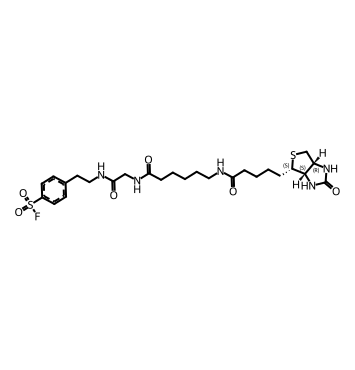 O=C(CCCC[C@@H]1SC[C@@H]2NC(=O)N[C@@H]21)NCCCCCC(=O)NCC(=O)NCCc1ccc(S(=O)(=O)F)cc1